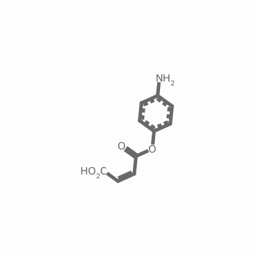 Nc1ccc(OC(=O)/C=C\C(=O)O)cc1